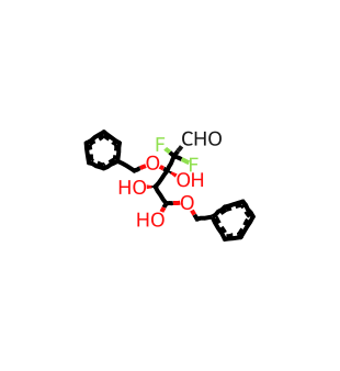 O=CC(F)(F)[C@@](O)(OCc1ccccc1)[C@H](O)C(O)OCc1ccccc1